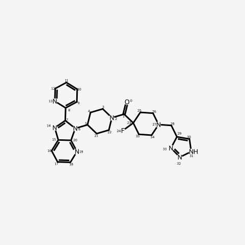 O=C(N1CCC(n2c(-c3ccccn3)nc3cccnc32)CC1)C1(F)CCN(Cc2c[nH]nn2)CC1